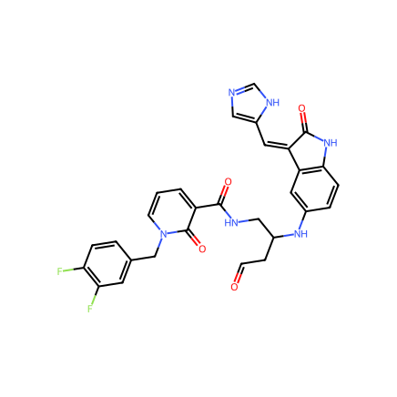 O=CCC(CNC(=O)c1cccn(Cc2ccc(F)c(F)c2)c1=O)Nc1ccc2c(c1)C(=Cc1cnc[nH]1)C(=O)N2